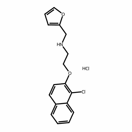 Cl.Clc1c(OCCNCc2ccco2)ccc2ccccc12